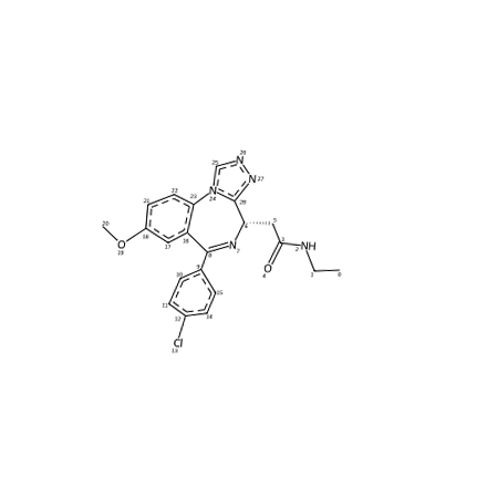 CCNC(=O)C[C@@H]1N=C(c2ccc(Cl)cc2)c2cc(OC)ccc2-n2cnnc21